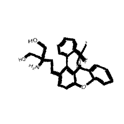 NC(CO)(CO)CCc1ccc2oc3ccccc3c(=O)c2c1-c1ccccc1C(F)(F)F